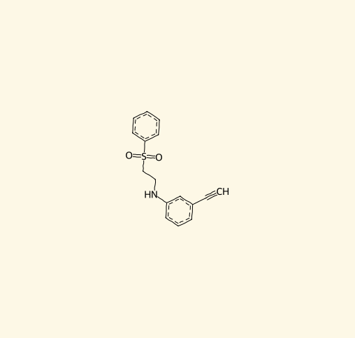 C#Cc1cccc(NCCS(=O)(=O)c2ccccc2)c1